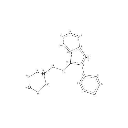 c1ccc(-c2[nH]c3ccccc3c2CCN2CCOCC2)cc1